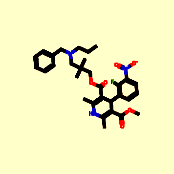 CCCN(Cc1ccccc1)CC(C)(C)COC(=O)C1=C(C)NC(C)=C(C(=O)OC)C1c1cccc([N+](=O)[O-])c1F